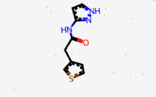 O=C(Cc1ccsc1)Nc1cc[nH]n1